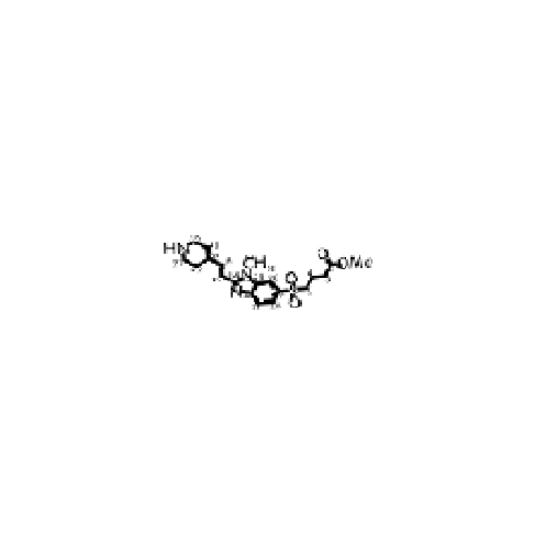 COC(=O)CCCS(=O)(=O)c1ccc2nc(CCC3CCNCC3)n(C)c2c1